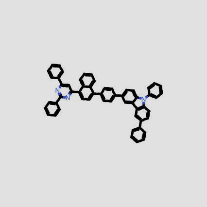 c1ccc(-c2ccc3c(c2)c2cc(-c4ccc(-c5ccc(-c6cc(-c7ccccc7)nc(-c7ccccc7)n6)c6ccccc56)cc4)ccc2n3-c2ccccc2)cc1